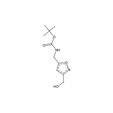 CC(C)(C)OC(=O)NCc1cc(CO)no1